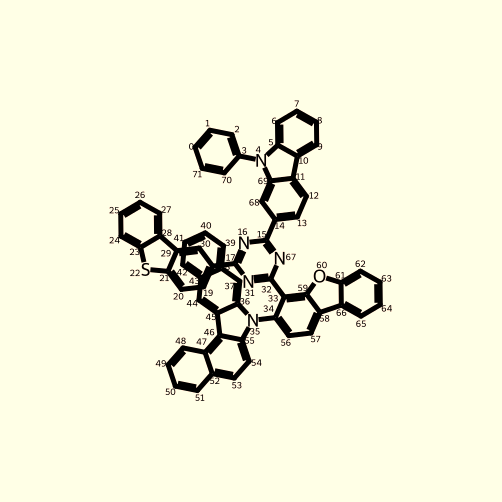 c1ccc(-n2c3ccccc3c3ccc(-c4nc(-c5ccc6sc7ccccc7c6c5)nc(-c5c(-n6c7cc8ccccc8cc7c7c8ccccc8ccc76)ccc6c5oc5ccccc56)n4)cc32)cc1